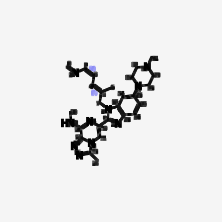 C=N/C=C\C=C(/C)Cn1c(-c2cn3c(C)nnc3c(NC)n2)nc2ccc(N3CCN(C)CC3)cc21